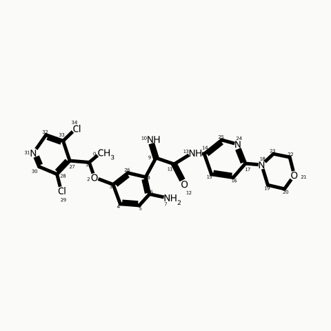 CC(Oc1ccc(N)c(C(=N)C(=O)Nc2ccc(N3CCOCC3)nc2)c1)c1c(Cl)cncc1Cl